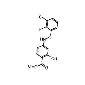 COC(=O)c1ccc(NSc2cccc(Cl)c2F)cc1O